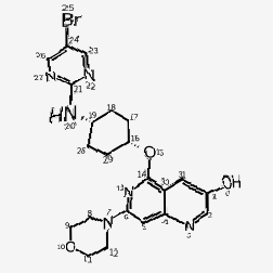 Oc1cnc2cc(N3CCOCC3)nc(O[C@H]3CC[C@@H](Nc4ncc(Br)cn4)CC3)c2c1